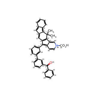 CC1(C)C2=c3ccccc3=CC2=Cc2c(-c3cccc(-c4cccc(C(=O)c5ccccc5)c4)c3)c3ccn(C(=O)O)cc-3c21